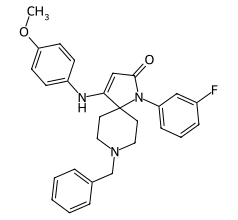 COc1ccc(NC2=CC(=O)N(c3cccc(F)c3)C23CCN(Cc2ccccc2)CC3)cc1